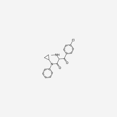 CNC(C(=O)c1ccc(Cl)cc1)C(=O)N(c1ccccc1)C1CC1